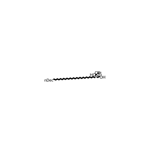 CCCCCCCCCCCCCCCCCCCCCCCCCCCCCCCCCCCCN(CCO)C(C)(O)OCC